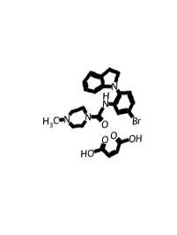 CN1CCN(C(=O)Nc2cc(Br)ccc2N2CCc3ccccc32)CC1.O=C(O)/C=C\C(=O)O